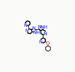 c1ccc(-c2nccc3[nH]c(-c4n[nH]c5cnc(-c6cncc(OC7CCCCC7)c6)cc45)nc23)nc1